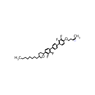 C/C=C\CCOc1ccc(-c2ccc(-c3ccc(C4CCC(CCCCCCCC)CO4)c(F)c3F)cc2)c(F)c1F